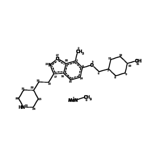 CNC.Cc1c(OCC2CCC(O)CC2)ccc2c(CCC3CCNCC3)noc12